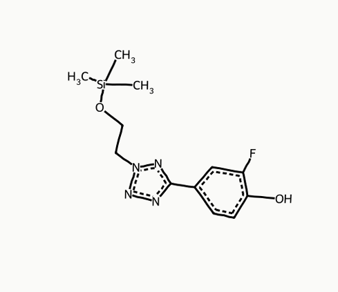 C[Si](C)(C)OCCn1nnc(-c2ccc(O)c(F)c2)n1